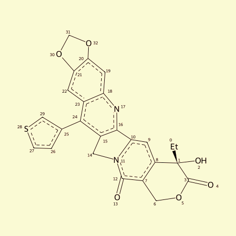 CC[C@@]1(O)C(=O)OCc2c1cc1n(c2=O)Cc2c-1nc1cc3c(cc1c2-c1ccsc1)OCO3